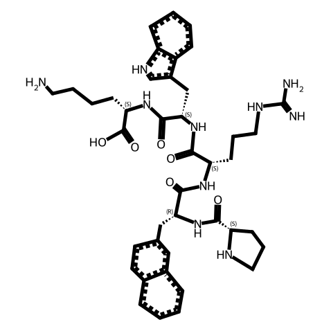 N=C(N)NCCC[C@H](NC(=O)[C@@H](Cc1ccc2ccccc2c1)NC(=O)[C@@H]1CCCN1)C(=O)N[C@@H](Cc1c[nH]c2ccccc12)C(=O)N[C@@H](CCCCN)C(=O)O